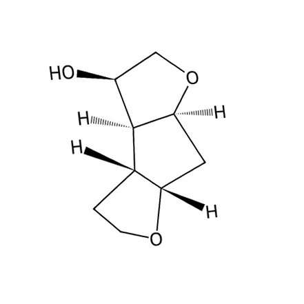 O[C@H]1CO[C@H]2C[C@@H]3OCC[C@@H]3[C@H]21